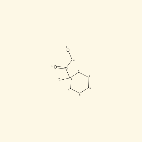 CC1(C(=O)C[O])CCCCC1